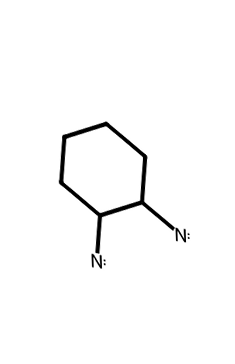 [N]C1CCCCC1[N]